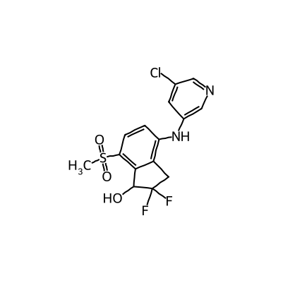 CS(=O)(=O)c1ccc(Nc2cncc(Cl)c2)c2c1C(O)C(F)(F)C2